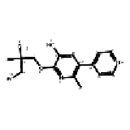 Cc1nc(OC[C@@](C)(N)CC(C)C)c(C#N)cc1-c1ccncc1